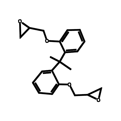 CC(C)(c1ccccc1OCC1CO1)c1ccccc1OCC1CO1